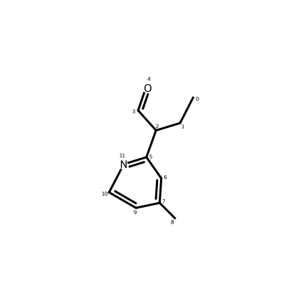 CCC(C=O)c1cc(C)ccn1